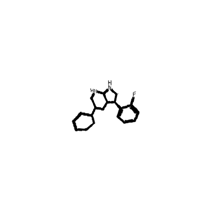 Fc1ccccc1C1CNC2NCC(C3CCCCC3)CC21